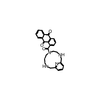 O=C1c2ccccc2C(=O)c2c1cccc2C(=O)N1CCCNCc2cccc(n2)CNCC1